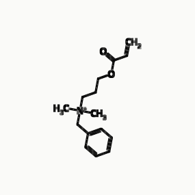 C=CC(=O)OCCC[N+](C)(C)Cc1ccccc1